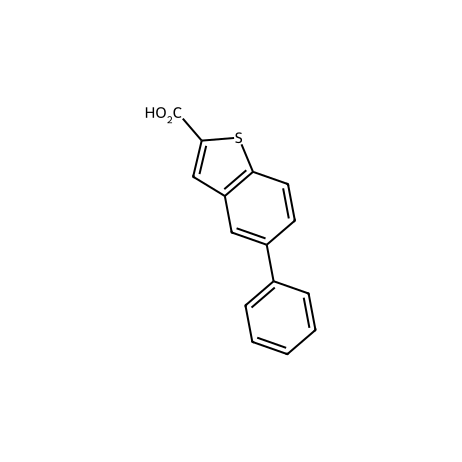 O=C(O)c1cc2cc(-c3ccccc3)ccc2s1